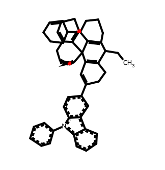 CCC1C2=C(C=C(c3ccc4c(c3)c3ccccc3n4-c3ccccc3)CC2)C2(C3=CCCC=C3Cc3ccccc32)C2=C1CCCC2C1C=CCCC1